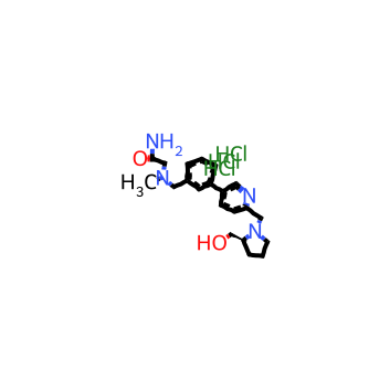 CN(CC(N)=O)Cc1cccc(-c2ccc(CN3CCC[C@H]3CO)nc2)c1.Cl.Cl.Cl